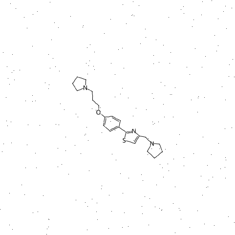 c1cc(-c2nc(CN3CCCC3)cs2)ccc1OCCCN1CCCC1